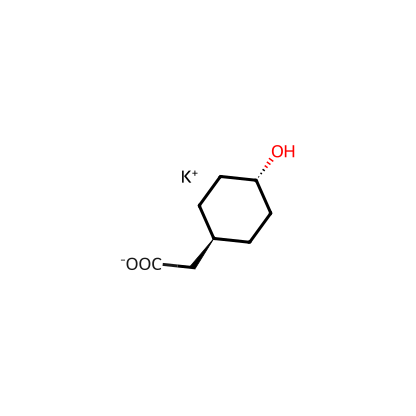 O=C([O-])C[C@H]1CC[C@H](O)CC1.[K+]